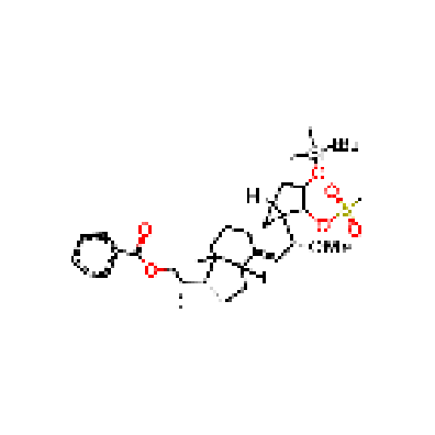 CO[C@H](/C=C1\CCCC2(C)[C@@H]([C@H](C)COC(=O)c3ccccc3)CC[C@@H]12)[C@]12C[C@H]1CC(O[Si](C)(C)C(C)(C)C)C2OS(C)(=O)=O